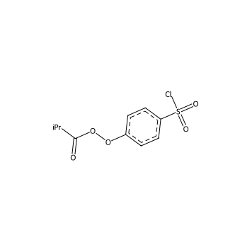 CC(C)C(=O)OOc1ccc(S(=O)(=O)Cl)cc1